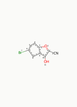 N#Cc1oc2ccc(Br)cc2c1O